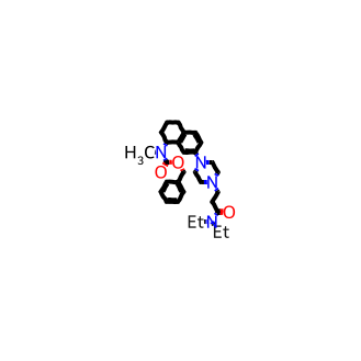 CCN(CC)C(=O)CCN1CCN(c2ccc3c(c2)C(N(C)C(=O)OCc2ccccc2)CCC3)CC1